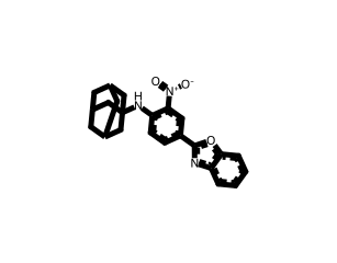 O=[N+]([O-])c1cc(-c2nc3ccccc3o2)ccc1NC12CC3CC(CC(C3)C1)C2